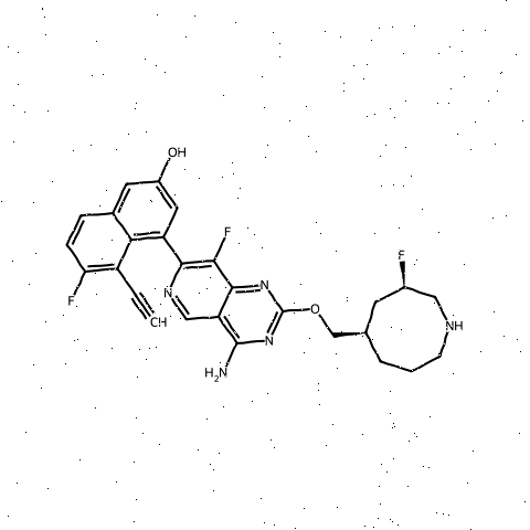 C#Cc1c(F)ccc2cc(O)cc(-c3ncc4c(N)nc(OC[C@@H]5CCCNC[C@H](F)C5)nc4c3F)c12